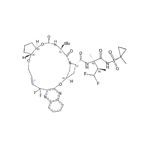 C[C@@H](C(F)F)[C@@](C)(NC(=O)[C@@H]1C[C@@H]2CN1C(=O)[C@H](C(C)(C)C)NC(=O)O[C@@H]1CCC[C@H]1OC/C=C/C(F)(F)c1nc3ccccc3nc1O2)C(=O)NS(=O)(=O)C1(C)CC1